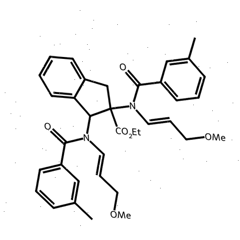 CCOC(=O)C1(N(C=CCOC)C(=O)c2cccc(C)c2)Cc2ccccc2C1N(C=CCOC)C(=O)c1cccc(C)c1